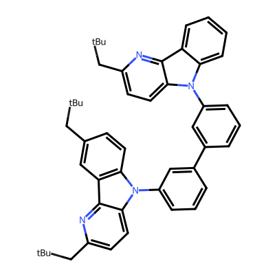 CC(C)(C)Cc1ccc2c(c1)c1nc(CC(C)(C)C)ccc1n2-c1cccc(-c2cccc(-n3c4ccccc4c4nc(CC(C)(C)C)ccc43)c2)c1